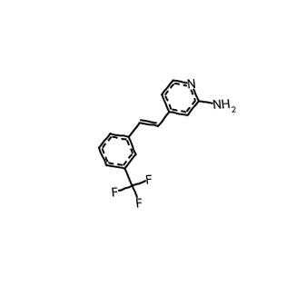 Nc1cc(C=Cc2cccc(C(F)(F)F)c2)ccn1